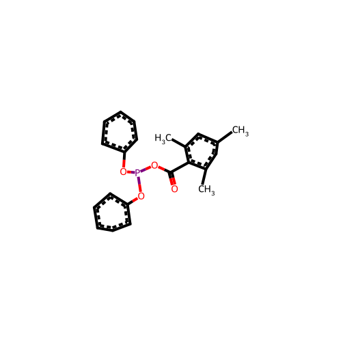 Cc1cc(C)c(C(=O)OP(Oc2ccccc2)Oc2ccccc2)c(C)c1